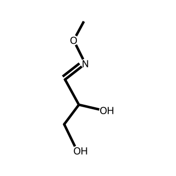 CO/N=C/C(O)CO